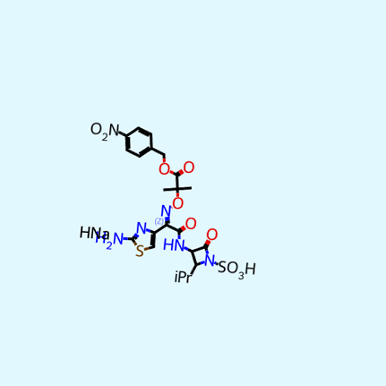 CC(C)C1C(NC(=O)/C(=N\OC(C)(C)C(=O)OCc2ccc([N+](=O)[O-])cc2)c2csc(N)n2)C(=O)N1S(=O)(=O)O.[NaH]